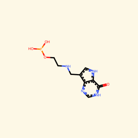 O=c1[nH]cnc2c(CNCCOP(O)O)c[nH]c12